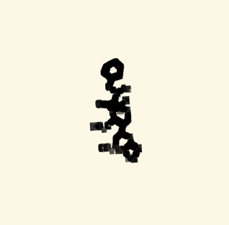 CC(=O)N(Oc1ccccc1)C1C(=O)N2C(C(=O)O)=C(C(CC(=O)O)Sc3nnn[nH]3)CS[C@@H]12